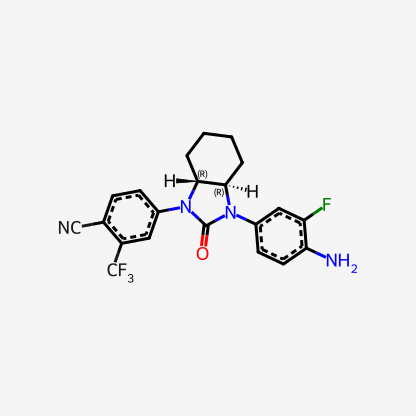 N#Cc1ccc(N2C(=O)N(c3ccc(N)c(F)c3)[C@@H]3CCCC[C@H]32)cc1C(F)(F)F